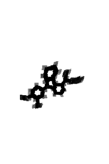 COC(=O)c1cccc2c1c1ccccc1n2-c1ccc(C#N)c(Br)c1